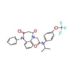 CC(C)N(C(=O)CN1C(=O)CC(=O)N(c2ccccc2)c2ccccc21)c1ccc(OC(F)(F)F)cc1